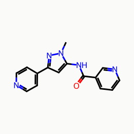 Cn1nc(-c2ccncc2)cc1NC(=O)c1cccnc1